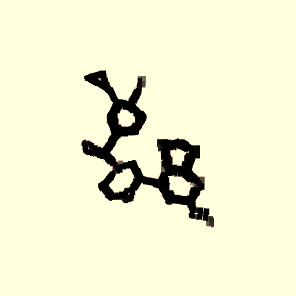 Cc1cc(C2CN(C(=O)c3ccc(F)c(C4CC4)c3)CCO2)n2ncnc2n1